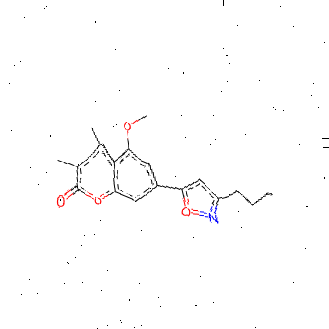 CCCc1cc(-c2cc(OC)c3c(C)c(C)c(=O)oc3c2)on1